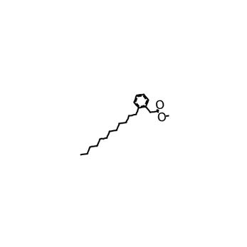 CCCCCCCCCCCCc1ccccc1CC(=O)OC